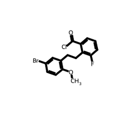 COc1ccc(Br)cc1CCc1c(F)cccc1C(=O)Cl